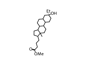 CC[C@]1(O)CCC2C(CCC3C2CCC2(C)C(CCCC(=O)OC)CCC32)C1